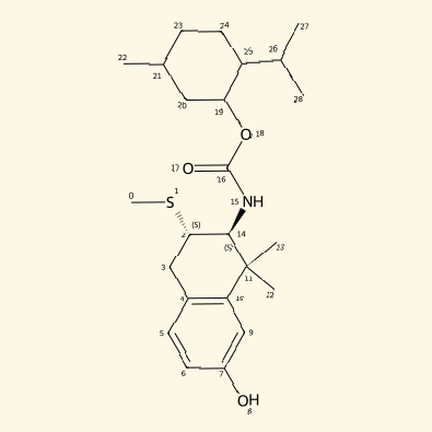 CS[C@H]1Cc2ccc(O)cc2C(C)(C)[C@@H]1NC(=O)OC1CC(C)CCC1C(C)C